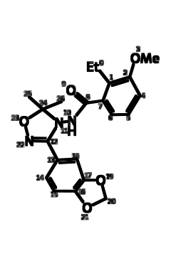 CCc1c(OC)cccc1C(=O)NN1C(c2ccc3c(c2)OCO3)=NOC1(C)C